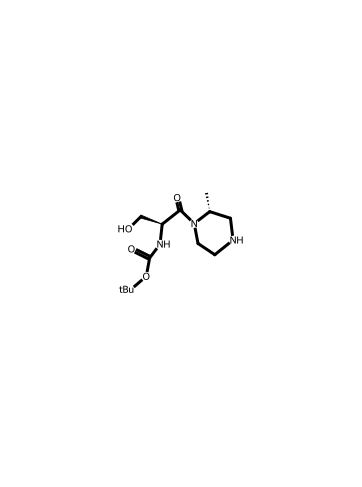 C[C@@H]1CNCCN1C(=O)[C@H](CO)NC(=O)OC(C)(C)C